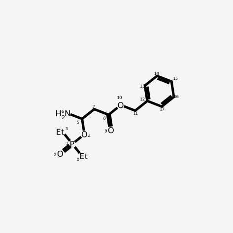 CCP(=O)(CC)OC(N)CC(=O)OCc1ccccc1